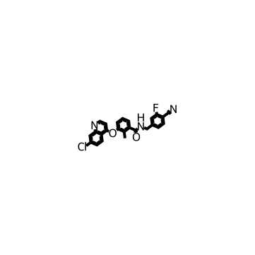 Cc1c(Oc2ccnc3cc(Cl)ccc23)cccc1C(=O)NCc1ccc(C#N)c(F)c1